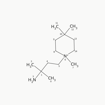 CC(C)(N)CC[N+]1(C)CCC(C)(C)CC1